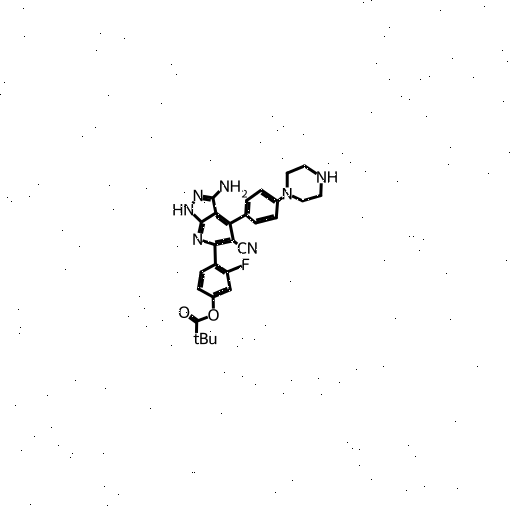 CC(C)(C)C(=O)Oc1ccc(-c2nc3[nH]nc(N)c3c(-c3ccc(N4CCNCC4)cc3)c2C#N)c(F)c1